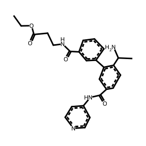 CCOC(=O)CCNC(=O)c1cccc(-c2cc(C(=O)Nc3ccncc3)ccc2C(C)N)c1